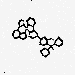 CC1(c2ccccc2)c2ccccc2Oc2cc(C3C=CC4=C(C3)c3ccccc3C43c4ccccc4-c4cccc5cccc3c45)ccc21